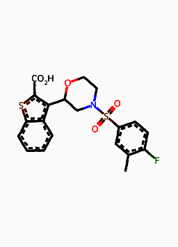 Cc1cc(S(=O)(=O)N2CCOC(c3c(C(=O)O)sc4ccccc34)C2)ccc1F